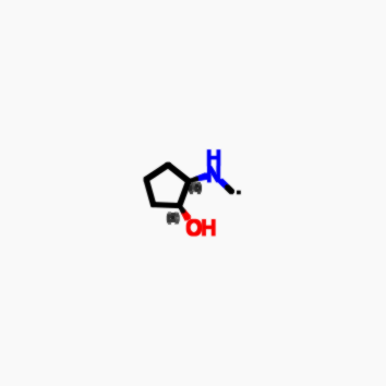 [CH2]N[C@@H]1CCC[C@@H]1O